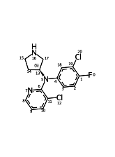 Fc1ccc(N(c2ncccc2Cl)[C@H]2CCNC2)cc1Cl